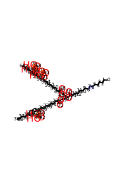 CCCCCC/C=C/CCCCCCCC(=O)OC(COC(=O)CCCCCCCC(CCCCCCCCC)OP(=O)(O)O)COC(=O)CCCCCCCC(CCCC(CCCCC)OP(=O)(O)O)OP(=O)(O)O